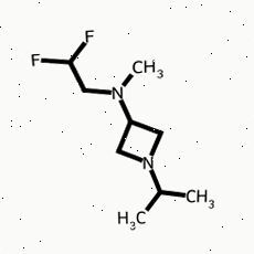 CC(C)N1CC(N(C)CC(F)F)C1